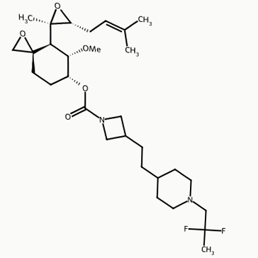 CO[C@@H]1[C@H](OC(=O)N2CC(CCC3CCN(CC(C)(F)F)CC3)C2)CC[C@]2(CO2)[C@H]1[C@@]1(C)O[C@@H]1CC=C(C)C